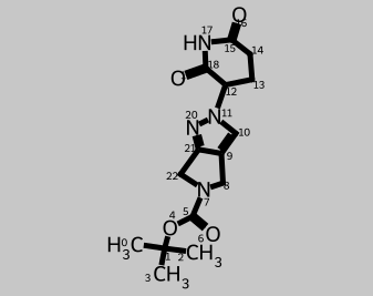 CC(C)(C)OC(=O)N1Cc2cn(C3CCC(=O)NC3=O)nc2C1